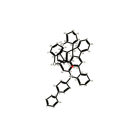 c1ccc(-c2ccc(N(c3ccc4c(c3)oc3ccccc34)c3ccccc3-c3ccc4c(c3)-c3ccccc3C43c4ccccc4Oc4ccccc43)cc2)cc1